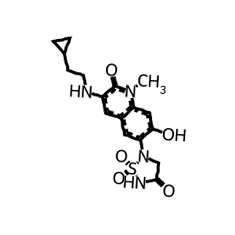 Cn1c(=O)c(NCCC2CC2)cc2cc(N3CC(=O)NS3(=O)=O)c(O)cc21